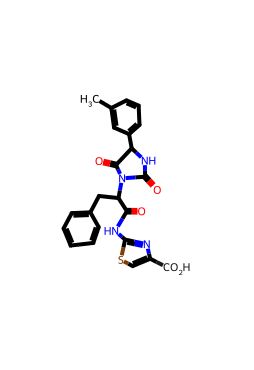 Cc1cccc(C2NC(=O)N(C(Cc3ccccc3)C(=O)Nc3nc(C(=O)O)cs3)C2=O)c1